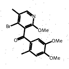 COc1cc(C)c(C(=O)c2c(OC)ncc(C)c2Br)cc1OC